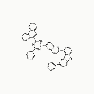 c1ccc(C2=NC(c3ccc4cc(-c5cccc6oc7ccc(-c8ccccc8)cc7c56)ccc4c3)NC(c3cc4ccccc4c4ccccc34)=N2)cc1